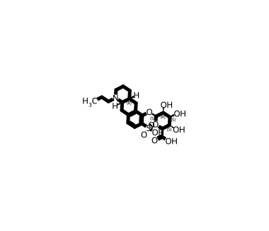 CCCN1CCC[C@@H]2Cc3c(ccc(S(=O)(=O)O)c3O[C@@H]3O[C@H](C(=O)O)[C@@H](O)[C@H](O)[C@H]3O)C[C@H]21